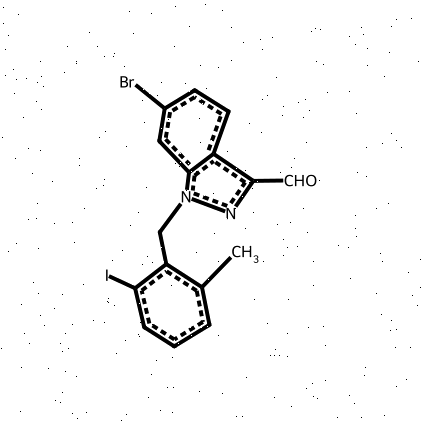 Cc1cccc(I)c1Cn1nc(C=O)c2ccc(Br)cc21